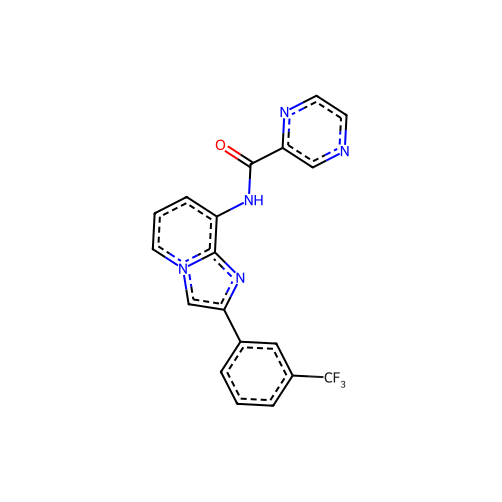 O=C(Nc1cccn2cc(-c3cccc(C(F)(F)F)c3)nc12)c1cnccn1